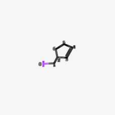 ICC1C=CCC1